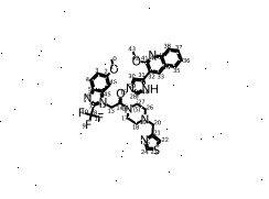 COc1ccc2nc(C(F)(F)F)n(CC(=O)N3CCN(Cc4cscn4)C[C@H]3c3ncc(-c4cc5ccccc5nc4OC)[nH]3)c2c1